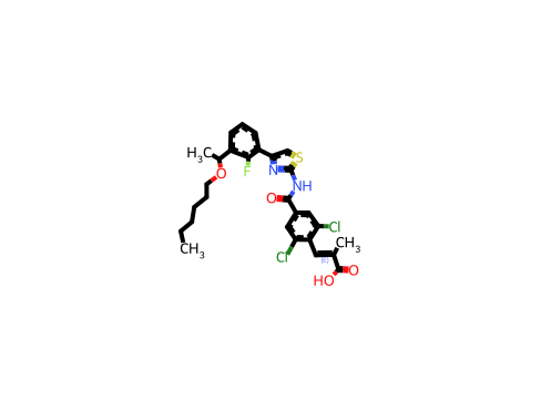 CCCCCCOC(C)c1cccc(-c2csc(NC(=O)c3cc(Cl)c(/C=C(\C)C(=O)O)c(Cl)c3)n2)c1F